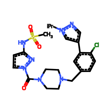 CC(C)n1cc(-c2cc(CN3CCN(C(=O)n4ccc(NS(C)(=O)=O)n4)CC3)ccc2Cl)cn1